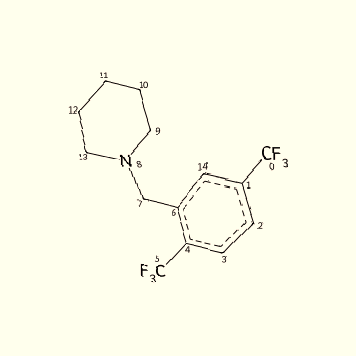 FC(F)(F)c1ccc(C(F)(F)F)c(CN2CCCCC2)c1